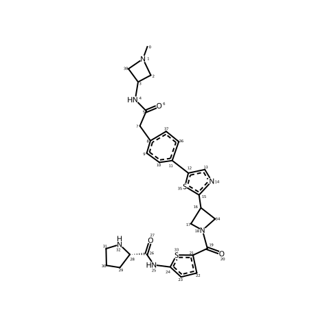 CN1CC(NC(=O)Cc2ccc(-c3cnc(C4CN(C(=O)c5ccc(NC(=O)[C@@H]6CCCN6)s5)C4)s3)cc2)C1